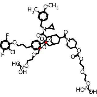 COc1ccc(CN(C(=O)C2C(c3ccc(CCCOc4c(F)ccc(F)c4Cl)cc3)CC3CC(C(=O)N4CCC(OC(=O)OCCOCCON(O)O)CC4)CC2N3C(=O)OCCOCCON(O)O)C2CC2)cc1C